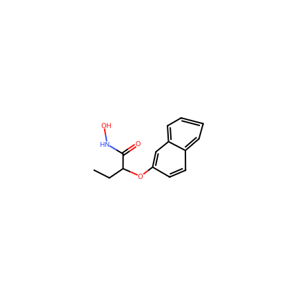 CCC(Oc1ccc2ccccc2c1)C(=O)NO